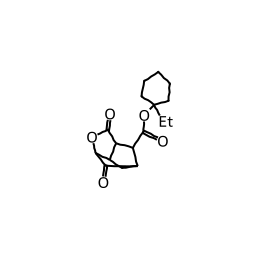 CCC1(OC(=O)C2C3CC4C(OC(=O)C42)C3=O)CCCCC1